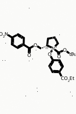 CCOC(=O)c1ccc(O[N+]2(C(=O)OC(C)(C)C)CCC[C@H]2COC(=O)c2ccc([N+](=O)[O-])cc2)cc1